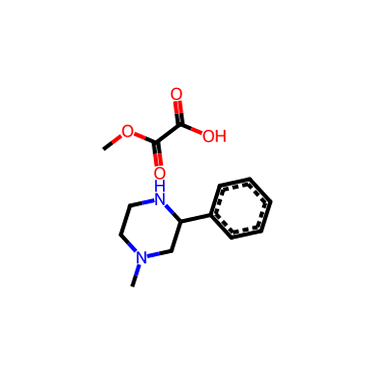 CN1CCNC(c2ccccc2)C1.COC(=O)C(=O)O